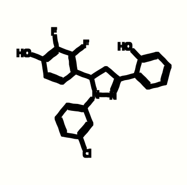 Oc1ccccc1C1=NN(c2cccc(Cl)c2)C(c2ccc(O)c(F)c2F)C1